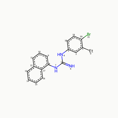 CCc1cc(NC(=N)Nc2cccc3ccccc23)ccc1Br